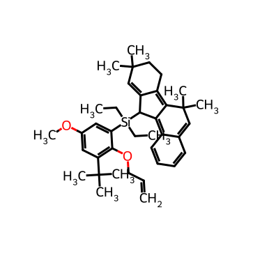 C=CCOc1c(C(C)(C)C)cc(OC)cc1[Si](CC)(CC)C1C2=CC(C)(C)CCC2=C2C1=c1ccccc1=CC2(C)C